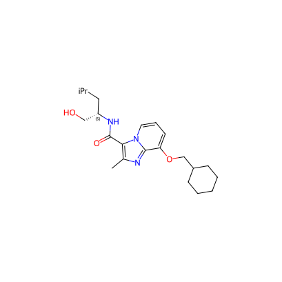 Cc1nc2c(OCC3CCCCC3)cccn2c1C(=O)N[C@H](CO)CC(C)C